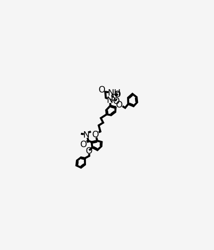 CN(C)C(=O)c1c(OCCCCc2ccc(OCc3ccccc3)c(N3CC(=O)NS3(=O)=O)c2)cccc1OCc1ccccc1